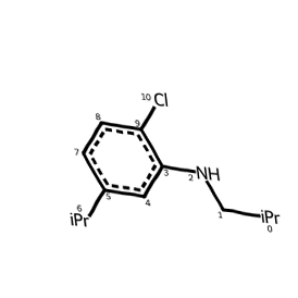 CC(C)CNc1cc(C(C)C)ccc1Cl